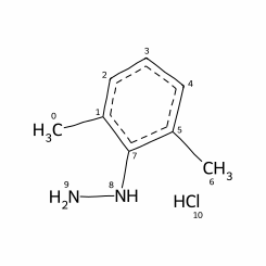 Cc1cccc(C)c1NN.Cl